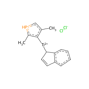 Cc1c[pH]c(C)[c]1[Ti+2][CH]1C=Cc2ccccc21.[Cl-].[Cl-]